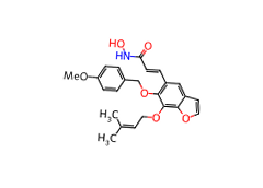 COc1ccc(COc2c(/C=C/C(=O)NO)cc3ccoc3c2OCC=C(C)C)cc1